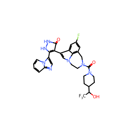 O=C(N1CCC(C(O)C(F)(F)F)CC1)N1CCn2cc(-c3c(-c4cnc5ccccn45)[nH][nH]c3=O)c3cc(F)cc(c32)C1